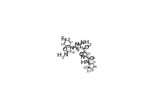 CC(C(N)=O)N(c1ccc(F)cc1)c1nc(N)c(C(=O)c2cc(C(=O)NC3CCCC3(C)C)no2)s1